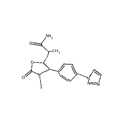 CC(C(N)=O)C1OC(=O)N(F)C1c1ccc(-n2ccnn2)cc1